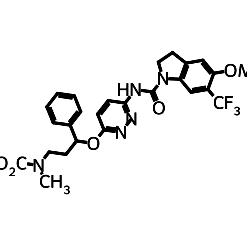 COc1cc2c(cc1C(F)(F)F)N(C(=O)Nc1ccc(OC(CCN(C)C(=O)O)c3ccccc3)nn1)CC2